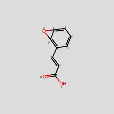 O=C(O)/C=C/c1cccc2c1O2